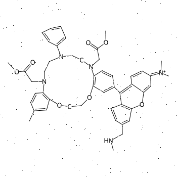 CNCc1ccc2c(-c3ccc4c(c3)OCCOc3cc(C)ccc3N(CC(=O)OC)CCN(c3ccccc3)CCN4CC(=O)OC)c3ccc(=[N+](C)C)cc-3oc2c1